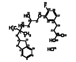 CC(C)(CC1Cc2ccccc2C1)NCC(O)COc1cc(CCC(=O)O)ccc1F.Cl